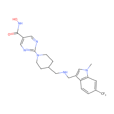 Cn1cc(CNCC2CCN(c3ncc(C(=O)NO)cn3)CC2)c2ccc(C(F)(F)F)cc21